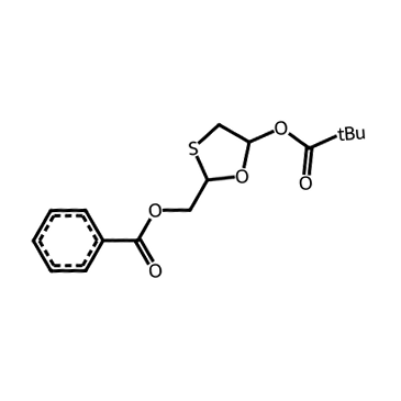 CC(C)(C)C(=O)OC1CSC(COC(=O)c2ccccc2)O1